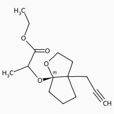 C#CCC12CCC[C@]1(OC(C)C(=O)OCC)OCC2